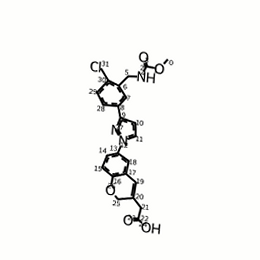 COC(=O)NCc1cc(-c2ccn(-c3ccc4c(c3)C=C(CC(=O)O)CO4)n2)ccc1Cl